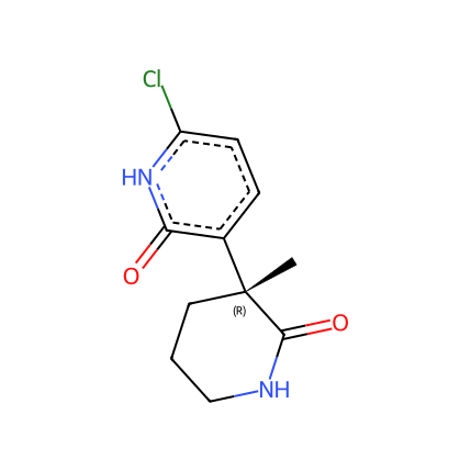 C[C@]1(c2ccc(Cl)[nH]c2=O)CCCNC1=O